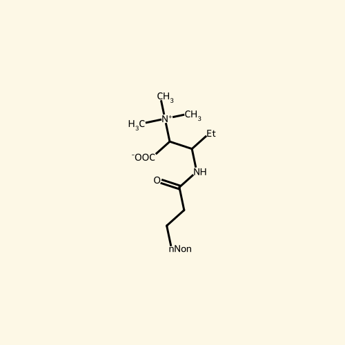 CCCCCCCCCCCC(=O)NC(CC)C(C(=O)[O-])[N+](C)(C)C